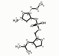 B[C@H]1CC(OP(=O)(O)SC[C@H]2OCCC2OC(C)C)[C@@H](COC)O1